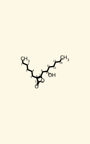 CCCCCCC1=C(C[C@@H](O)CCCCC)OC1=O